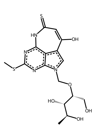 CSc1nc2c3c(cn(CO[C@H](CO)[C@@H](O)[C@H](C)O)c3n1)C(O)=CC(=S)N2